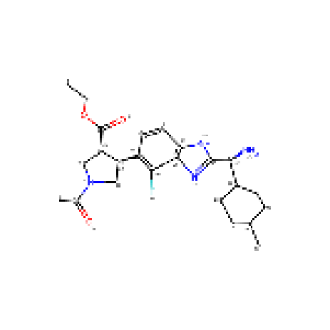 CCOC(=O)[C@@H]1CN(C(C)=O)C[C@@H]1c1ccc2[nH]c([C@@H](N)C3CCC(C)CC3)nc2c1F